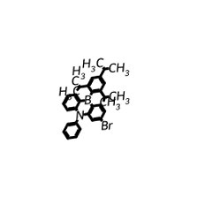 CC(C)c1cc(C(C)C)c(B2c3ccccc3N(c3ccccc3)c3cc(Br)ccc32)c(C(C)C)c1